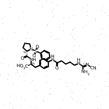 N#C/N=C(\N)NCCCCC(=O)Nc1ccc(C[C@H](NC(=O)[C@@H]2CCCN2S(=O)(=O)c2ccccc2)C(=O)O)cc1